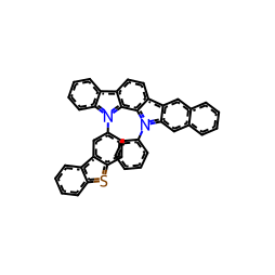 c1ccc(-n2c3cc4ccccc4cc3c3ccc4c5ccccc5n(-c5ccc6sc7ccccc7c6c5)c4c32)cc1